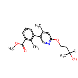 COC(=O)c1cccc(-c2cnc(OCCC(C)(C)O)cc2C)c1C